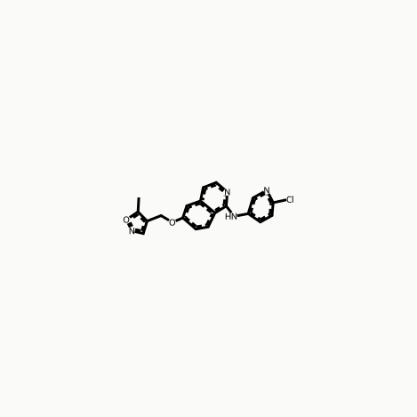 Cc1oncc1COc1ccc2c(Nc3ccc(Cl)nc3)nccc2c1